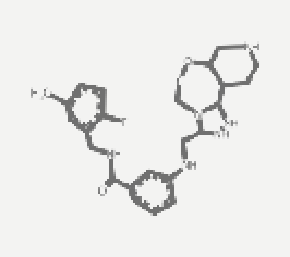 Cc1ccc(F)c(CNC(=O)c2cccc(NCC3NNC4C5CCNCC5OCCN34)c2)c1